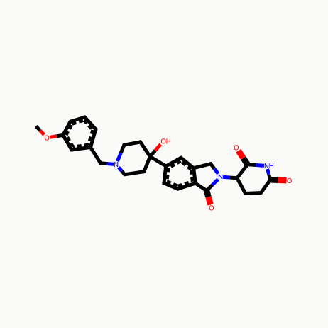 COc1cccc(CN2CCC(O)(c3ccc4c(c3)CN(C3CCC(=O)NC3=O)C4=O)CC2)c1